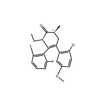 CCN1C(=O)[C@@H](C)CC(c2cc(OC)ccc2Cl)=C1c1c(F)cccc1F